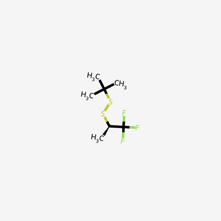 C[C@@H](SSC(C)(C)C)C(F)(F)F